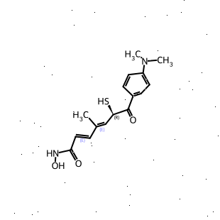 CC(/C=C/C(=O)NO)=C\[C@@H](S)C(=O)c1ccc(N(C)C)cc1